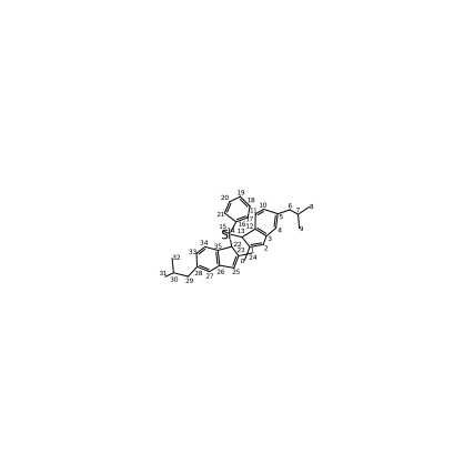 CC1=Cc2cc(CC(C)C)ccc2C1[Si](C)(c1ccccc1)C1C(C)=Cc2cc(CC(C)C)ccc21